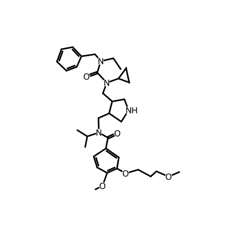 CCN(Cc1ccccc1)C(=O)N(CC1CNCC1CN(C(=O)c1ccc(OC)c(OCCCOC)c1)C(C)C)C1CC1